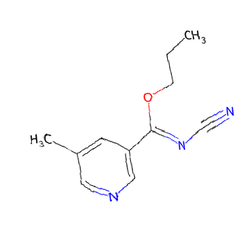 CCCOC(=NC#N)c1cncc(C)c1